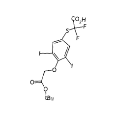 CC(C)(C)OC(=O)COc1c(I)cc(SC(F)(F)C(=O)O)cc1I